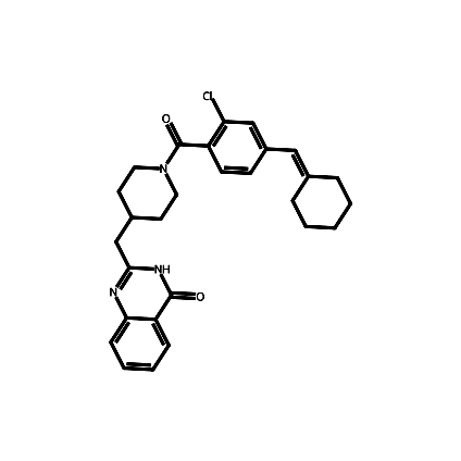 O=C(c1ccc(C=C2CCCCC2)cc1Cl)N1CCC(Cc2nc3ccccc3c(=O)[nH]2)CC1